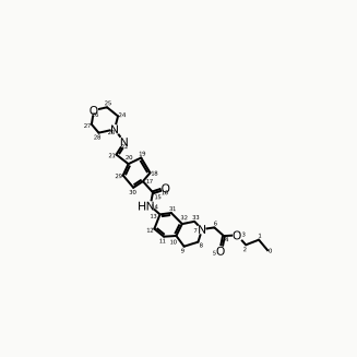 CCCOC(=O)CN1CCc2ccc(NC(=O)c3ccc(C=NN4CCOCC4)cc3)cc2C1